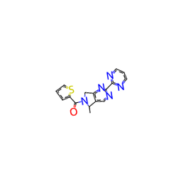 CC1c2cnc(-c3ncccn3)nc2CN1C(=O)c1cccs1